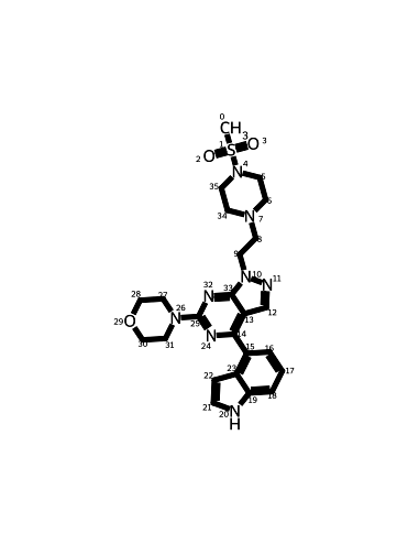 CS(=O)(=O)N1CCN(CCn2ncc3c(-c4cccc5[nH]ccc45)nc(N4CCOCC4)nc32)CC1